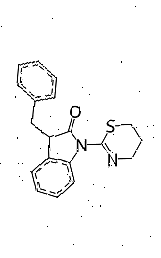 O=C1C(Cc2ccccc2)c2ccccc2N1C1=NCCCS1